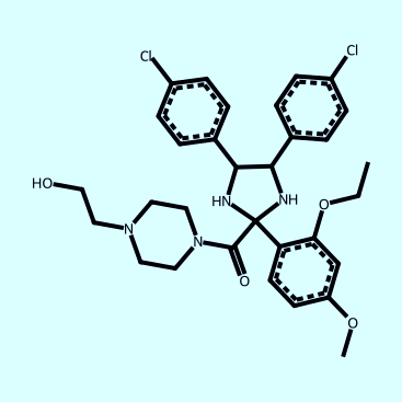 CCOc1cc(OC)ccc1C1(C(=O)N2CCN(CCO)CC2)NC(c2ccc(Cl)cc2)C(c2ccc(Cl)cc2)N1